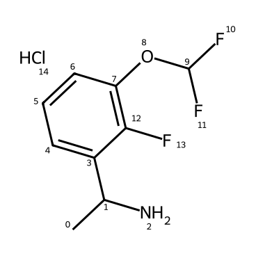 CC(N)c1cccc(OC(F)F)c1F.Cl